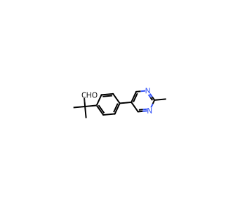 Cc1ncc(-c2ccc(C(C)(C)C=O)cc2)cn1